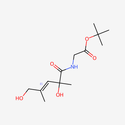 C/C(=C\C(C)(O)C(=O)NCC(=O)OC(C)(C)C)CO